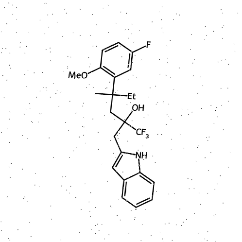 CCC(C)(CC(O)(Cc1cc2c[c]ccc2[nH]1)C(F)(F)F)c1cc(F)ccc1OC